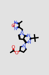 CC(=O)OC1CCN(c2nc(C(C)(C)C)nc3c2ccn3Cc2nonc2C)C1